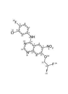 O=[N+]([O-])c1cc2c(Nc3ccc(F)c(Cl)c3)ncnc2cc1OCC(F)F